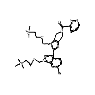 C[Si](C)(C)CCOCn1c(-c2nn(COCC[Si](C)(C)C)c3cc(Br)ccc23)nc2c1CN(C(=O)c1cccnn1)C2